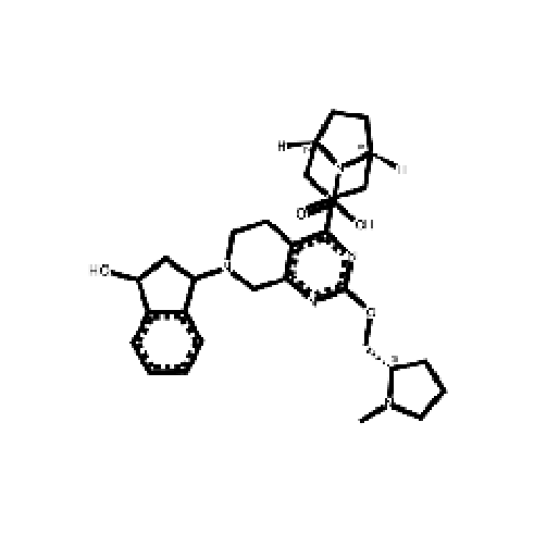 CN1CCC[C@H]1COc1nc2c(c(N3C[C@H]4CC[C@@H](C3)N4C(=O)O)n1)CCN(C1CC(O)c3ccccc31)C2